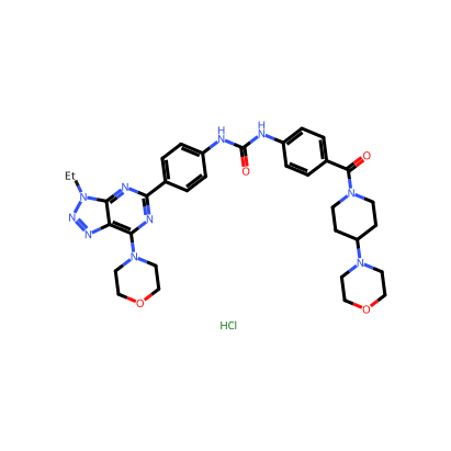 CCn1nnc2c(N3CCOCC3)nc(-c3ccc(NC(=O)Nc4ccc(C(=O)N5CCC(N6CCOCC6)CC5)cc4)cc3)nc21.Cl